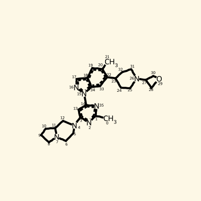 Cc1nc(N2CCN3CCCC3C2)cc(-n2ncc3cc(C)c(C4CCN(C5COC5)CC4)cc32)n1